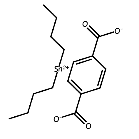 CCC[CH2][Sn+2][CH2]CCC.O=C([O-])c1ccc(C(=O)[O-])cc1